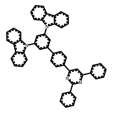 c1ccc(-c2cc(-c3ccc(-c4cc(-n5c6ccccc6c6ccccc65)cc(-n5c6ccccc6c6ccccc65)c4)cc3)nc(-c3ccccc3)n2)cc1